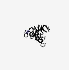 CO/N=C1/CCC(NC(=O)c2nc3c(s2)CN(C)CC3)C(NC(=O)c2cc3cc(Cl)ccc3[nH]2)C1